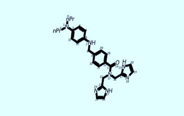 CCCN(CCC)c1ccc(NCc2ccc(C(=O)N(Cc3ncc[nH]3)Cc3ncc[nH]3)cc2)cc1